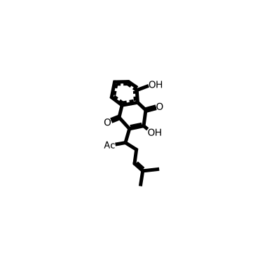 CC(=O)C(CC=C(C)C)C1=C(O)C(=O)c2c(O)cccc2C1=O